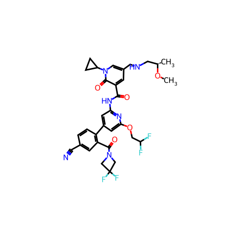 CO[C@@H](C)CNCc1cc(C(=O)Nc2cc(-c3ccc(C#N)cc3C(=O)N3CC(F)(F)C3)cc(OCC(F)F)n2)c(=O)n(C2CC2)c1